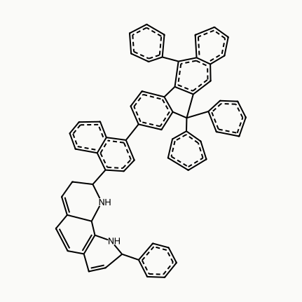 C1=CC2=C(NC(c3ccccc3)C=C2)C2NC(c3ccc(-c4ccc5c(c4)C(c4ccccc4)(c4ccccc4)c4cc6ccccc6c(-c6ccccc6)c4-5)c4ccccc34)CC=C12